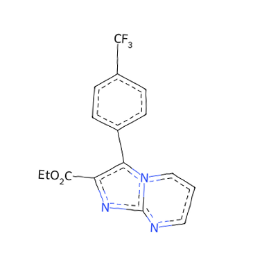 CCOC(=O)c1nc2ncccn2c1-c1ccc(C(F)(F)F)cc1